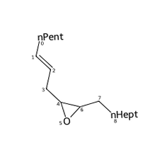 CCCCCC=CCC1OC1CCCCCCCC